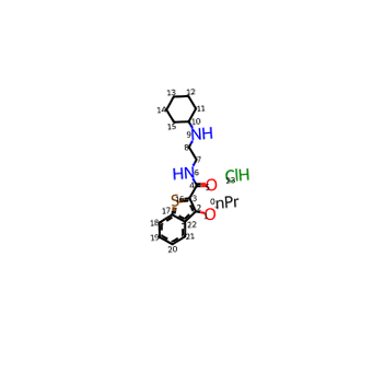 CCCOc1c(C(=O)NCCNC2CCCCC2)sc2ccccc12.Cl